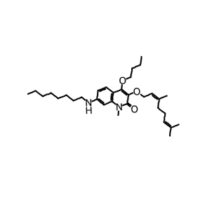 CCCCCCCCNc1ccc2c(OCCCC)c(OCC=C(C)CCC=C(C)C)c(=O)n(C)c2c1